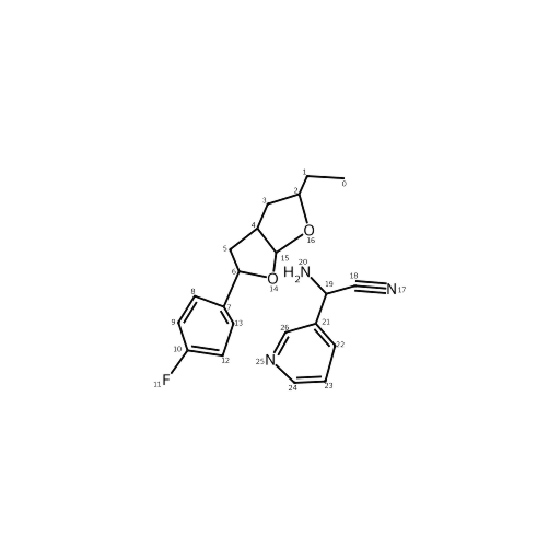 CCC1CC2CC(c3ccc(F)cc3)OC2O1.N#CC(N)c1cccnc1